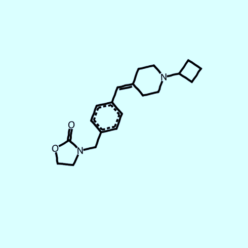 O=C1OCCN1Cc1ccc(C=C2CCN(C3CCC3)CC2)cc1